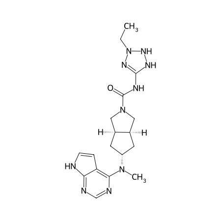 CCN1N=C(NC(=O)N2C[C@H]3C[C@H](N(C)c4ncnc5[nH]ccc45)C[C@H]3C2)NN1